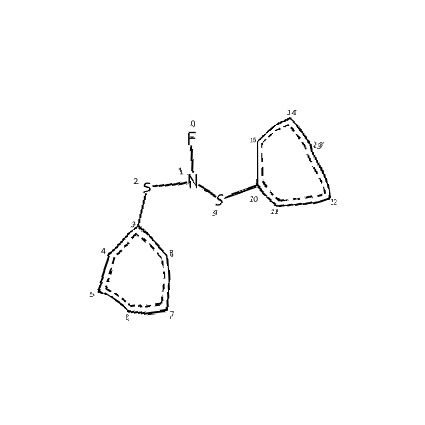 FN(Sc1ccccc1)Sc1ccccc1